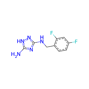 Nc1nc(NCc2ccc(F)cc2F)n[nH]1